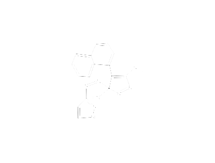 NC1=C(c2cccc3ccccc23)C(N)(N=Nc2cc[nH]n2)N=N1